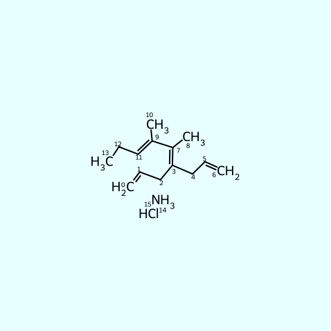 C=CCC(CC=C)=C(C)C(C)=CCC.Cl.N